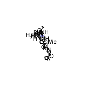 BC(B)(B)NC(=O)C(=N)/C(=C\C(=N)NC(=O)C1CC1)Nc1cccc(-c2nc(CN3CCN(C(=O)c4ccccn4)CC3)no2)c1OC